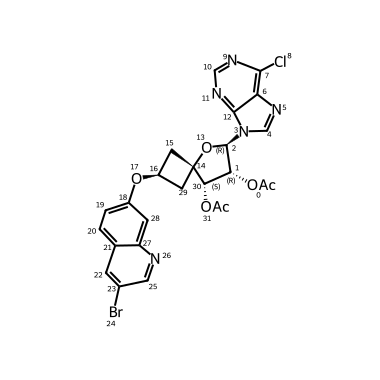 CC(=O)O[C@H]1[C@H](n2cnc3c(Cl)ncnc32)O[C@]2(C[C@H](Oc3ccc4cc(Br)cnc4c3)C2)[C@H]1OC(C)=O